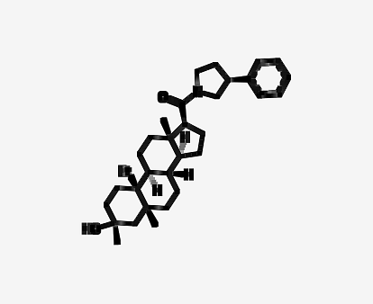 CC[C@]12CC[C@@](C)(O)C[C@@]1(C)CC[C@H]1[C@@H]3CC[C@H](C(=O)N4CC[C@@H](c5ccccc5)C4)[C@@]3(C)CC[C@@H]12